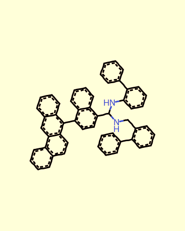 c1ccc(-c2ccccc2CNC(Nc2ccccc2-c2ccccc2)c2ccc(-c3c4ccccc4cc4c3ccc3ccccc34)c3ccccc23)cc1